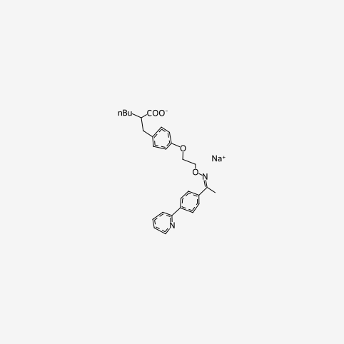 CCCCC(Cc1ccc(OCCON=C(C)c2ccc(-c3ccccn3)cc2)cc1)C(=O)[O-].[Na+]